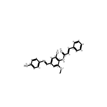 COc1cc(/C=N/c2ccc(O)cc2)cc(Cl)c1OC(=O)/C=C/c1ccccc1